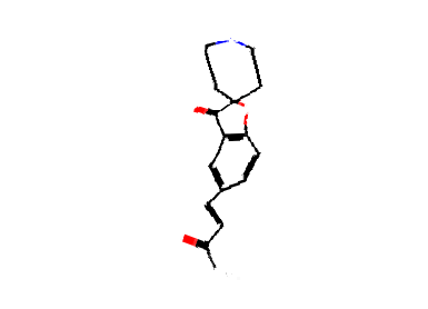 COC(=O)/C=C/c1ccc2c(c1)C(=O)C1(CCNCC1)O2